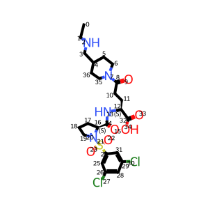 CCNCC1CCN(C(=O)CC[C@H](NC(=O)[C@@H]2CCCN2S(=O)(=O)c2cc(Cl)cc(Cl)c2)C(=O)O)CC1